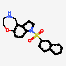 O=S(=O)(c1ccc2ccccc2c1)n1ccc2c3c(ccc21)OCCNC3